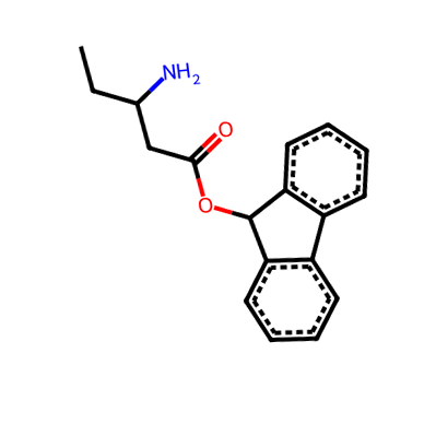 CCC(N)CC(=O)OC1c2ccccc2-c2ccccc21